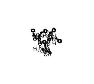 CC(C)(C)OC(=O)[C@H](CO)N(C(=O)CN)C(=O)COc1cc(C(=O)N2C[C@@H](C(=O)N[C@H]3C[C@@H]3c3ccccc3)[C@H](C(=O)N[C@H]3C[C@@H]3c3ccccc3)C2)ccc1C(=O)N1C[C@@H](C(=O)N[C@H]2C[C@@H]2c2ccccc2)[C@H](C(=O)N[C@H]2C[C@@H]2c2ccccc2)C1